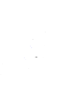 O=C1CN(Cc2ccccc2)C[C@@H]2CC[C@H](c3ccccc3)N12